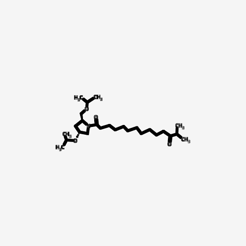 CC(C)OC[C@@H]1C[C@@H](OC(C)C)CN1C(=O)CCCCCCCCCCC(=O)C(C)C